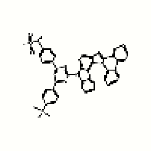 C[C@@H](c1ccc(-c2cc(-c3ccc([Si](C)(C)C)cc3)nc(-n3c4ccccc4c4c3ccc3cc5c6ccccc6c6ccccc6n5c34)n2)cc1)S(C)(=O)=O